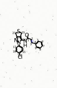 O=C(/C=C/c1ccccc1)Nc1c2c(nn1-c1ccc(Cl)cc1)CSC2